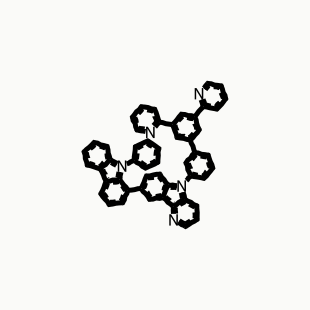 c1ccc(-n2c3ccccc3c3cccc(-c4ccc5c(c4)c4ncccc4n5-c4cccc(-c5cc(-c6ccccn6)cc(-c6ccccn6)c5)c4)c32)cc1